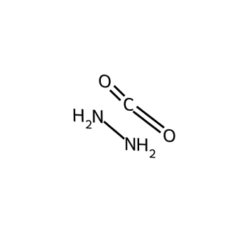 NN.O=C=O